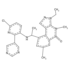 CCn1ncc2c3c(C(C)Nc4ccc(Cl)nc4-c4cncnc4)cc(C)cc3c(=O)n(C)c21